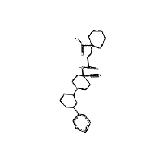 N#CC1(NC(=O)[CH]CC2(C(N)=O)CCCCC2)CCN(C2CCCC(c3ccccc3)C2)CC1